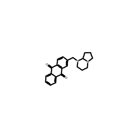 O=C1c2ccccc2C(=O)c2cc(CN3CCCN4CCCC43)ccc21